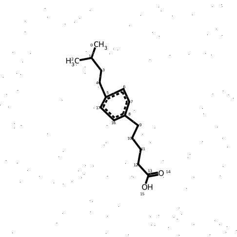 CC(C)CCc1ccc(CCCCC(=O)O)cc1